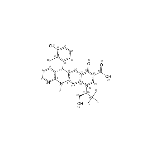 CN(c1ccccn1)c1nc2c(cc1Cc1cccc(Cl)c1F)c(=O)c(C(=O)O)cn2[C@H](CO)C(C)(C)C